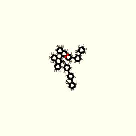 c1cc(-c2cccc3c2sc2ccccc23)cc(N(c2ccc(-c3ccc4c(c3)sc3ccccc34)cc2)c2c(-c3cccc4ccccc34)c3ccccc3c3ccccc23)c1